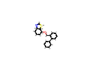 c1ccc(-c2ccccc2COc2cccc3ncsc23)cc1